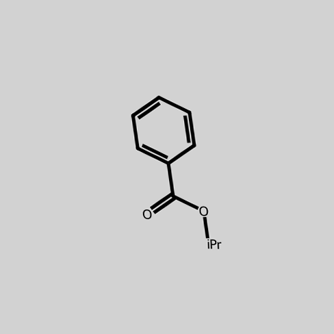 [CH2]C(C)OC(=O)c1ccccc1